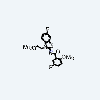 COCCn1/c(=N/C(=O)c2cc(F)ccc2OC)sc2cc(F)ccc21